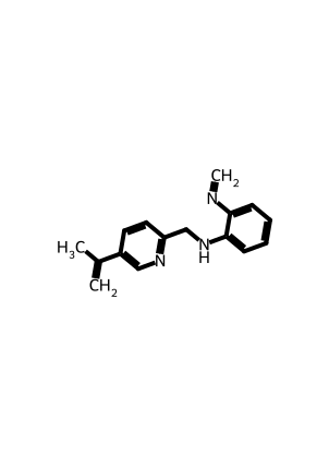 C=Nc1ccccc1NCc1ccc(C(=C)C)cn1